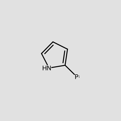 [P]c1ccc[nH]1